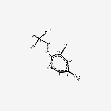 CC(=O)c1cnc(OCC(C)(F)F)c(C)c1